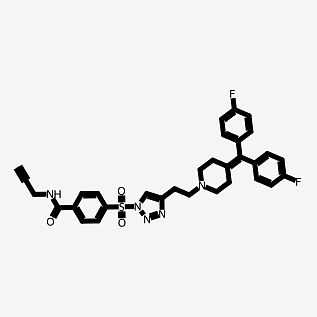 C#CCNC(=O)c1ccc(S(=O)(=O)n2cc(CCN3CCC(=C(c4ccc(F)cc4)c4ccc(F)cc4)CC3)nn2)cc1